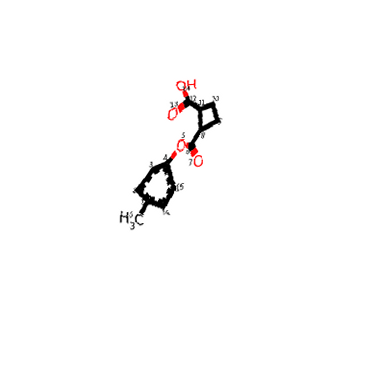 Cc1ccc(OC(=O)C2CCC2C(=O)O)cc1